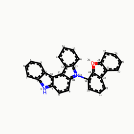 c1ccc2c(c1)[nH]c1ccc3c(c4ccccc4n3-c3cccc4c3oc3ccccc34)c12